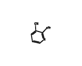 CCCc1ncccc1C#N